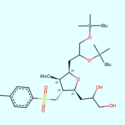 CO[C@@H]1[C@@H](CS(=O)(=O)c2ccc(C)cc2)[C@H](CC(O)CO)O[C@@H]1CC(CO[Si](C)(C)C(C)(C)C)O[Si](C)(C)C(C)(C)C